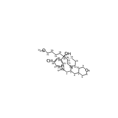 CNCC(CC1CCOCC1)N1CCC[C@@H]([C@@](O)(CCCCOC)c2cccc(Cl)c2)C1